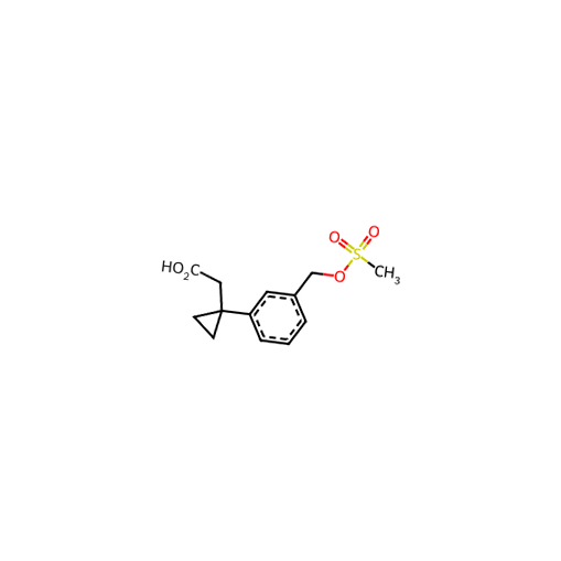 CS(=O)(=O)OCc1cccc(C2(CC(=O)O)CC2)c1